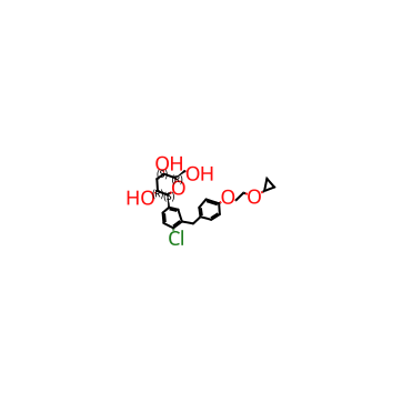 OC[C@H]1O[C@@H](c2ccc(Cl)c(Cc3ccc(OCCOC4CC4)cc3)c2)[C@H](O)C[C@@H]1O